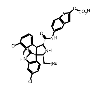 CC(C)(C)C[C@@H]1N[C@@H](C(=O)Nc2ccc3sc(OC(=O)O)cc3c2)[C@H](c2cccc(Cl)c2F)[C@]12C(=O)Nc1cc(Cl)ccc12